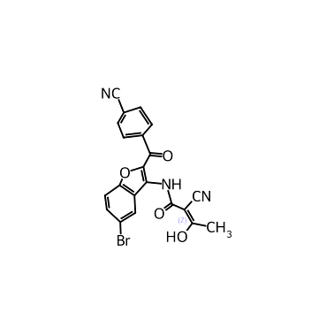 C/C(O)=C(\C#N)C(=O)Nc1c(C(=O)c2ccc(C#N)cc2)oc2ccc(Br)cc12